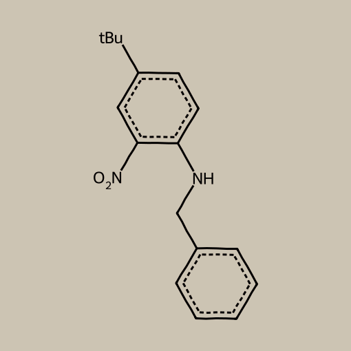 CC(C)(C)c1ccc(NCc2ccccc2)c([N+](=O)[O-])c1